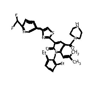 CCc1cccc(CC)c1-n1c(C=C(C)C)c(C(=O)N2CCNCC2)cc(-c2nc(-c3ccc(C(F)F)nc3)cs2)c1=O